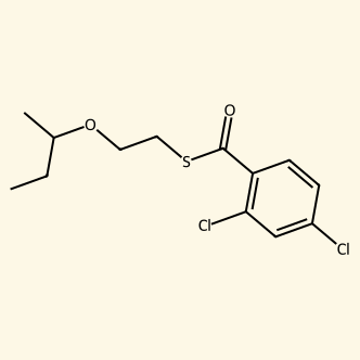 CCC(C)OCCSC(=O)c1ccc(Cl)cc1Cl